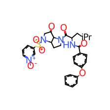 CC(C)CC(NC(=O)c1ccc(Oc2ccccc2)cc1)C(=O)N1CCC2C1C(=O)CN2S(=O)(=O)c1ccc[n+]([O-])c1